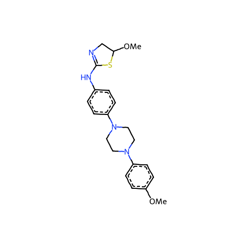 COc1ccc(N2CCN(c3ccc(NC4=NCC(OC)S4)cc3)CC2)cc1